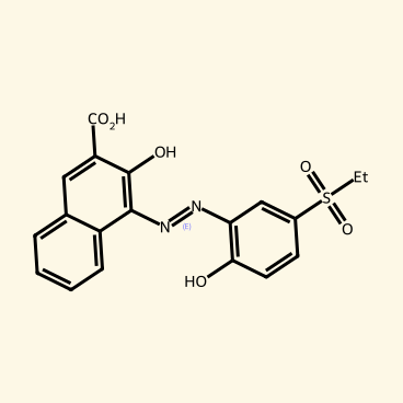 CCS(=O)(=O)c1ccc(O)c(/N=N/c2c(O)c(C(=O)O)cc3ccccc23)c1